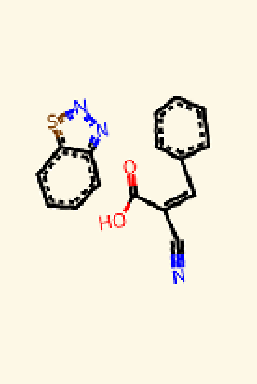 N#CC(=Cc1ccccc1)C(=O)O.c1ccc2snnc2c1